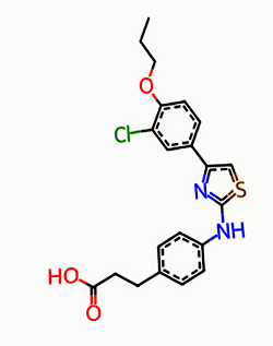 CCCOc1ccc(-c2csc(Nc3ccc(CCC(=O)O)cc3)n2)cc1Cl